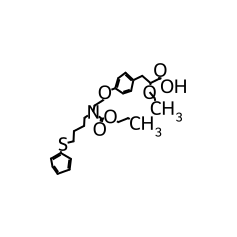 CCCOC(=O)N(CCCCSc1ccccc1)CCOc1ccc(CC(OCC)C(=O)O)cc1